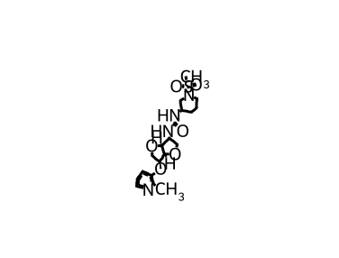 Cc1ncccc1O[C@H]1CO[C@H]2[C@@H]1OC[C@@H]2NC(=O)NC1CCCN(S(C)(=O)=O)C1